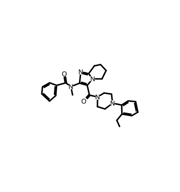 CCc1ccccc1N1CCN(C(=O)c2c(N(C)C(=O)c3ccccc3)nc3n2CCCC3)CC1